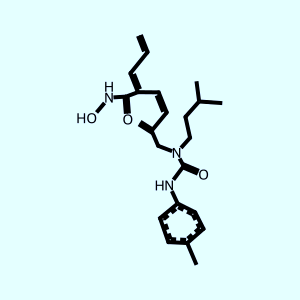 C=C/C=C(\C=C/C(=C)CN(CCC(C)C)C(=O)Nc1ccc(C)cc1)C(=O)NO